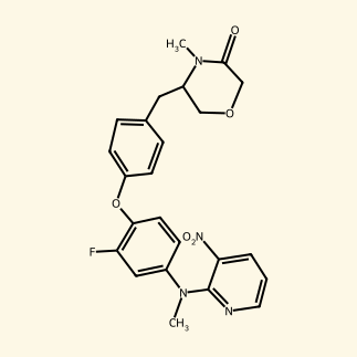 CN(c1ccc(Oc2ccc(CC3COCC(=O)N3C)cc2)c(F)c1)c1ncccc1[N+](=O)[O-]